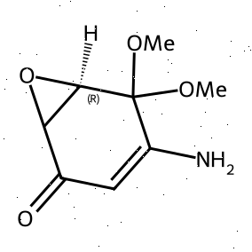 COC1(OC)C(N)=CC(=O)C2O[C@H]21